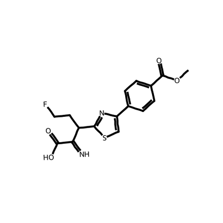 COC(=O)c1ccc(-c2csc(C(CCF)C(=N)C(=O)O)n2)cc1